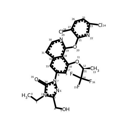 CCn1c(CO)nn(-c2cc(O[C@@H](C)C(F)(F)F)c3c(Oc4nc(Cl)ccc4Cl)nccc3c2)c1=O